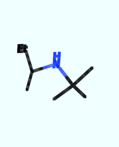 CCC(C)NC(C)(C)C